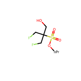 CCCOS(=O)(=O)C(CO)(CF)CF